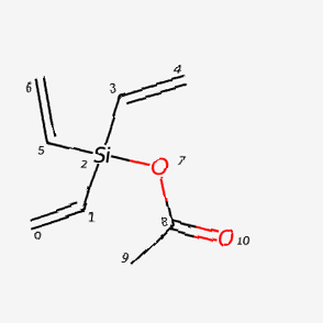 C=C[Si](C=C)(C=C)OC(C)=O